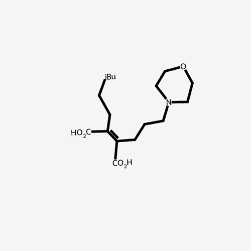 CCC(C)CCC(C(=O)O)=C(CCCN1CCOCC1)C(=O)O